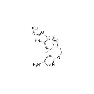 CC(C)(C)OC(=O)NC1=N[C@]2(C)c3cc(N)cnc3OCC[C@@H]2S(=O)(=O)C1(C)C